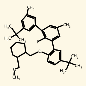 COCC1CCCCC1COc1ccc(C(C)(C)C)cc1-c1cc(C)cc(-c2cc(C)cc(C(C)(C)C)c2)c1I